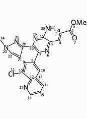 COC(=O)/C=C/c1nc(-c2cc(Cl)c3ncccc3c2)c(-c2ccn(C)n2)nc1N